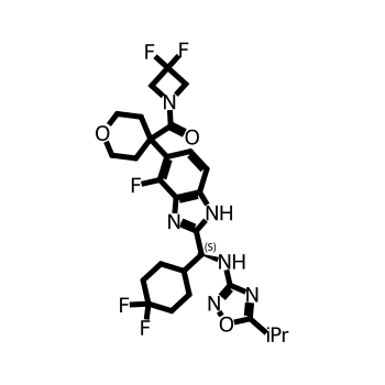 CC(C)c1nc(N[C@H](c2nc3c(F)c(C4(C(=O)N5CC(F)(F)C5)CCOCC4)ccc3[nH]2)C2CCC(F)(F)CC2)no1